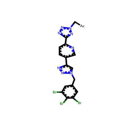 CC(=O)Cn1nnc(-c2ccc(-c3cn(Cc4cc(Br)c(Br)c(Br)c4)nn3)cn2)n1